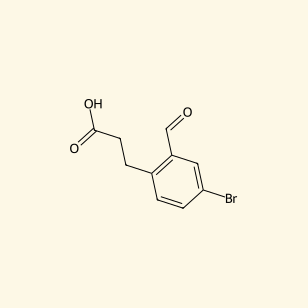 O=Cc1cc(Br)ccc1CCC(=O)O